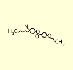 CCCCCCC1(C#N)CCC(OC(=O)c2ccc(OCCCC)cc2)CC1